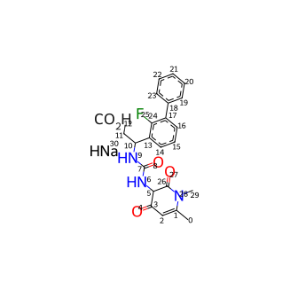 CC1=CC(=O)C(NC(=O)NC(CC(=O)O)c2cccc(-c3ccccc3)c2F)C(=O)N1C.[NaH]